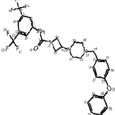 O=C(Nc1cc(C(F)(F)F)cc(C(F)(F)F)c1)N1CC(N2CCN(Cc3ccc(Oc4ccccc4)cc3)CC2)C1